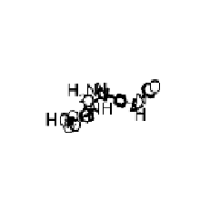 Nc1ncc(-c2ccc([C@@]34C[C@@H]3CN(C3CCOCC3)C4)cc2)cc1C(=O)NC12CCC(OP(=O)(O)O)(CC1)CC2